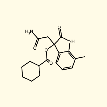 Cc1cccc2c1NC(=O)C2(CC(N)=O)OC(=O)C1CCCCC1